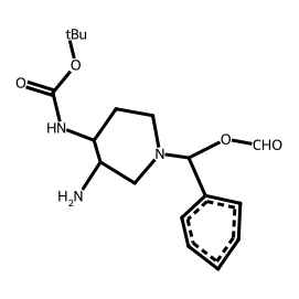 CC(C)(C)OC(=O)NC1CCN(C(OC=O)c2ccccc2)CC1N